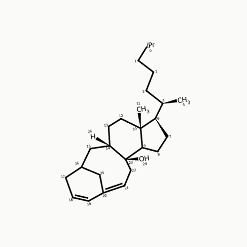 CC(C)CCC[C@@H](C)[C@H]1CCC2[C@]1(C)CC[C@H]1CC3CC=C/C(=C/C[C@@]21O)C3